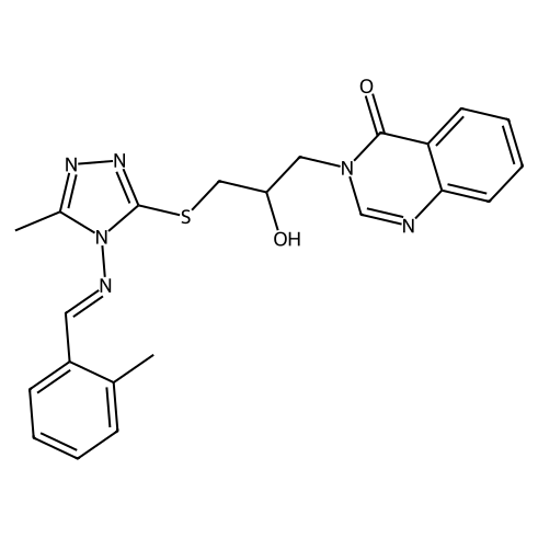 Cc1ccccc1C=Nn1c(C)nnc1SCC(O)Cn1cnc2ccccc2c1=O